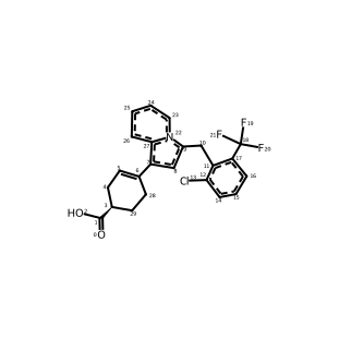 O=C(O)[C@H]1CC=C(c2cc(Cc3c(Cl)cccc3C(F)(F)F)n3ccccc23)CC1